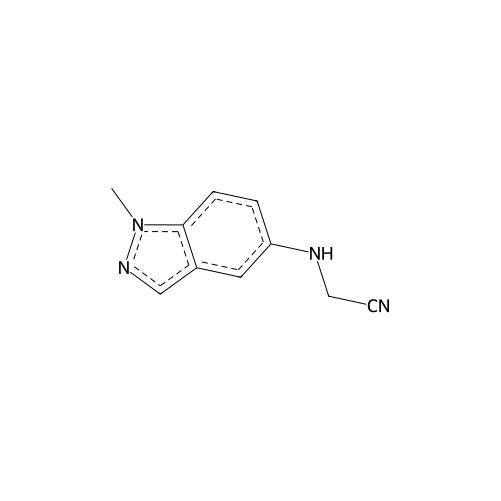 Cn1ncc2cc(NCC#N)ccc21